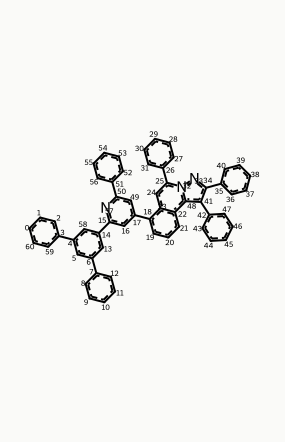 c1ccc(-c2cc(-c3ccccc3)cc(-c3cc(-c4cccc5c4cc(-c4ccccc4)n4nc(-c6ccccc6)c(-c6ccccc6)c54)cc(-c4ccccc4)n3)c2)cc1